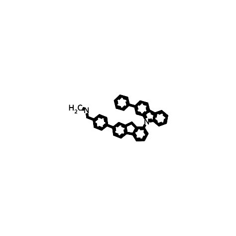 C=NCc1ccc(-c2ccc3c(c2)Cc2c-3cccc2-n2c3ccccc3c3ccc(-c4ccccc4)cc32)cc1